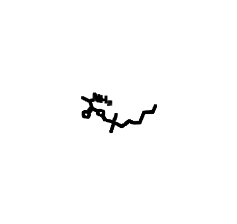 CCCCCCC(C)(C)COC(=O)C(C)N